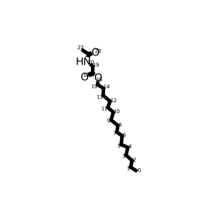 CCCCCCCCCCCCCCCCOC(=O)CNC(C)=O